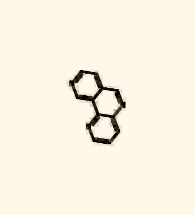 c1cnc2c(c1)ncc1ccncc12